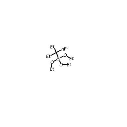 CCCC(CC)(CC)[Si](OCC)(OCC)OCC